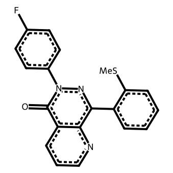 CSc1ccccc1-c1nn(-c2ccc(F)cc2)c(=O)c2cccnc12